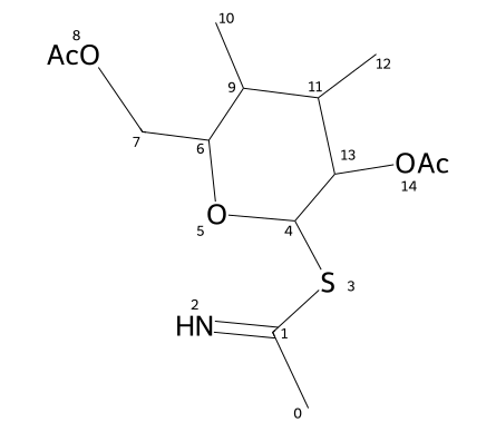 CC(=N)SC1OC(COC(C)=O)C(C)C(C)C1OC(C)=O